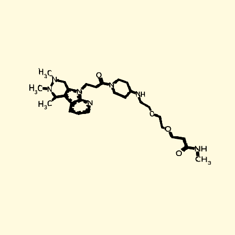 CNC(=O)CCOCCOCCNC1CCN(C(=O)CCn2c3c(c4cccnc42)C(C)N(C)N(C)C3)CC1